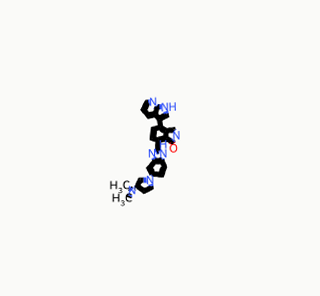 CN(C)[C@H]1CCN(c2ccc3[nH]c(-c4ccc(-c5c[nH]c6ncccc56)c5c4C(=O)N=C5)nc3c2)C1